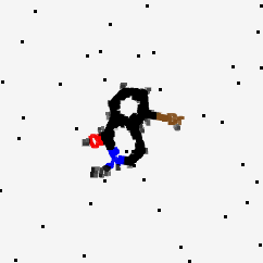 CCn1ccc2c(Br)cccc2c1=O